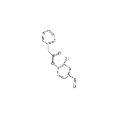 O=Cc1ccc(OC(=O)Cc2ccccc2)c(Cl)c1